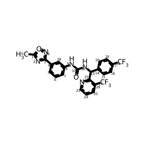 Cc1nc(-c2cccc(NC(=O)NC(c3ccc(C(F)(F)F)cc3)c3ncccc3C(F)(F)F)c2)no1